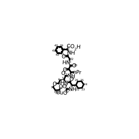 CCCC(NC(=O)[C@H](CC1OCCCO1)NC(=O)[C@@H](NC(=O)OCC(C)C)C1CCCCC1)C(=O)C(=O)NCC(=O)N[C@H](C(=O)O)c1ccccc1